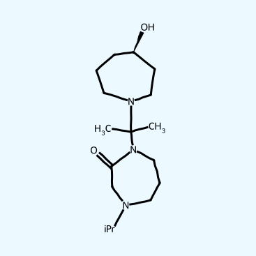 CC(C)N1CCCN(C(C)(C)N2CCC[C@@H](O)CC2)C(=O)C1